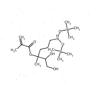 C=C(C)C(=O)OC(C)(CCC[SiH](O[Si](C)(C)C)O[Si](C)(C)C)C(O)CO